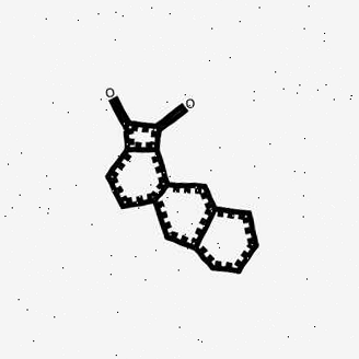 O=c1c(=O)c2c1ccc1cc3ccccc3cc12